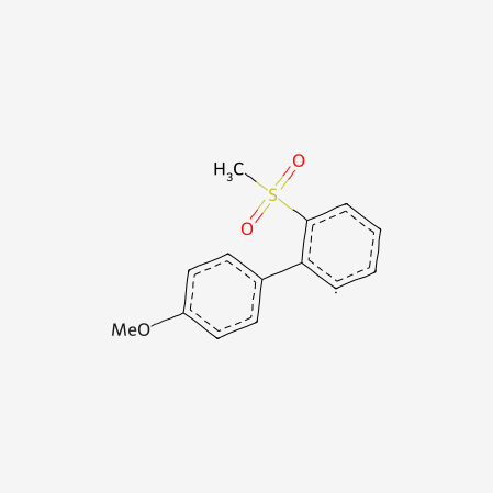 COc1ccc(-c2[c]cccc2S(C)(=O)=O)cc1